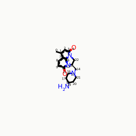 Cc1cc(=O)n2c3c1ccc(=O)n3[C@H](CN1CCC(N)CC1)C2